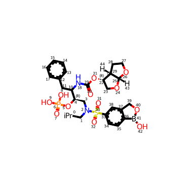 CC(C)CN(C[C@@H](OP(=O)(O)O)C(Cc1ccccc1)NC(=O)O[C@H]1CO[C@H]2OCC[C@H]21)S(=O)(=O)c1ccc2c(c1)COB2O